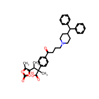 Cc1oc(=O)oc1C(C)C(C)(C(=O)O)c1ccc(C(=O)CCCN2CCC(C(c3ccccc3)c3ccccc3)CC2)cc1